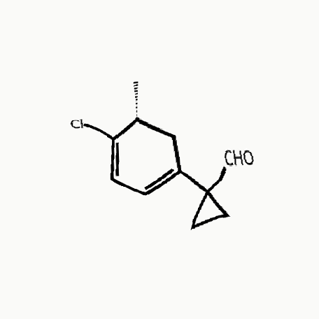 C[C@@H]1CC(C2(C=O)CC2)=CC=C1Cl